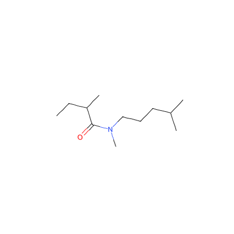 CCC(C)C(=O)N(C)CCCC(C)C